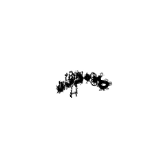 CN(C(=O)O[C@H]1C[C@@H](c2cc(NC(=O)CCn3cccn3)n(C(C)(C)C)n2)C1)C1CCCCC1